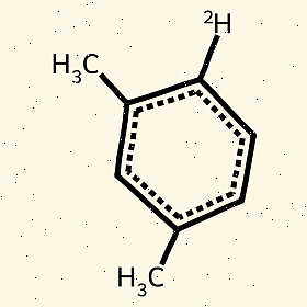 [2H]c1ccc(C)cc1C